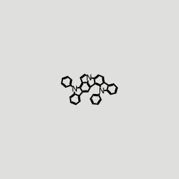 c1ccc(-n2c3ccccc3c3cc4c5c6c(ccc5n5ccc(c32)c45)c2ccccc2n6-c2ccccc2)cc1